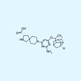 CC(Oc1cc(N2CCC3(CC2)CN[C@H](C(=O)O)C3)nc(N)n1)C1C2CC3CC1[C@H](C3)C2